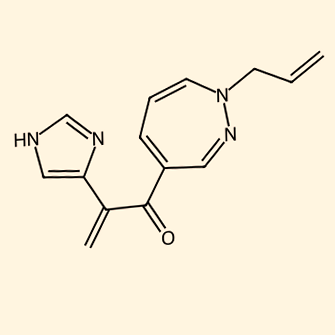 C=CCN1C=CC=C(C(=O)C(=C)c2c[nH]cn2)C=N1